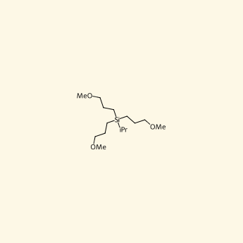 COCCC[Si](CCCOC)(CCCOC)C(C)C